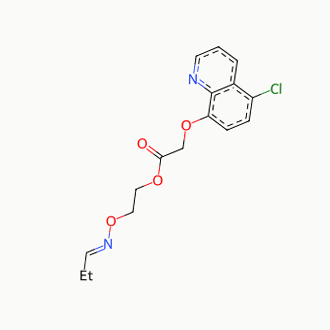 CC/C=N/OCCOC(=O)COc1ccc(Cl)c2cccnc12